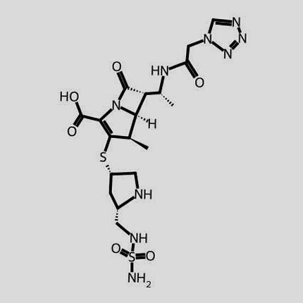 C[C@@H](NC(=O)Cn1cnnn1)[C@H]1C(=O)N2C(C(=O)O)=C(S[C@@H]3CN[C@H](CNS(N)(=O)=O)C3)[C@H](C)[C@H]12